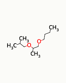 CCCCOCC(C)OCC(C)C